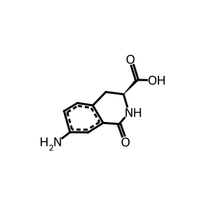 Nc1ccc2c(c1)C(=O)N[C@H](C(=O)O)C2